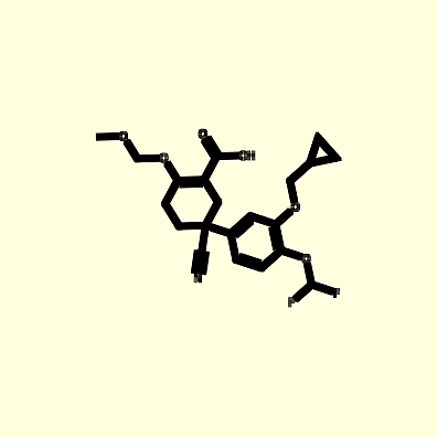 COCOC1=C(C(=O)O)CC(C#N)(c2ccc(OC(F)F)c(OCC3CC3)c2)CC1